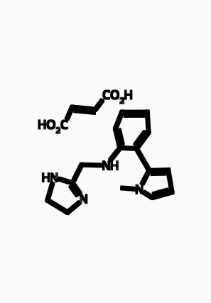 Cn1cccc1-c1ccccc1NCC1=NCCN1.O=C(O)/C=C/C(=O)O